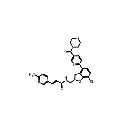 Nc1ccc(C=CC(=O)NCC2Cc3c(-c4ccc(C(=O)N5CCOCC5)cn4)ccc(Cl)c3O2)cn1